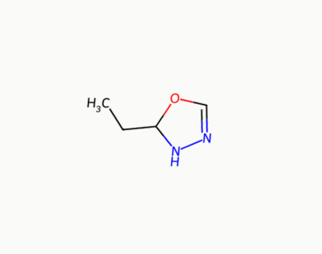 CCC1NN=CO1